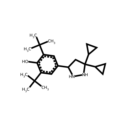 CC(C)(C)c1cc(C2CC(C3CC3)(C3CC3)NN2)cc(C(C)(C)C)c1O